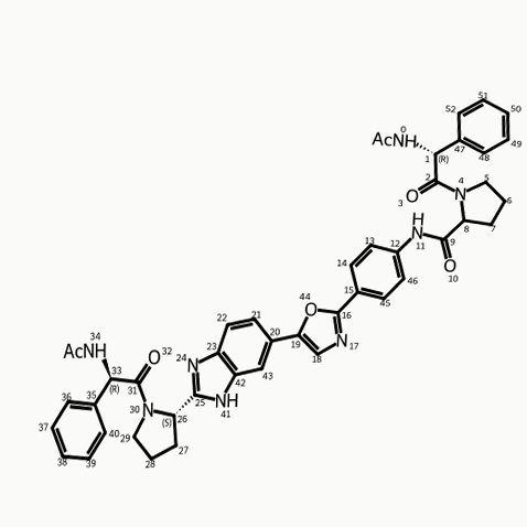 CC(=O)N[C@@H](C(=O)N1CCCC1C(=O)Nc1ccc(-c2ncc(-c3ccc4nc([C@@H]5CCCN5C(=O)[C@H](NC(C)=O)c5ccccc5)[nH]c4c3)o2)cc1)c1ccccc1